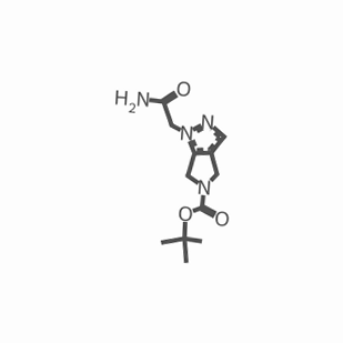 CC(C)(C)OC(=O)N1Cc2cnn(CC(N)=O)c2C1